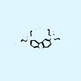 C=CC[Si](CC=C)(OCC)c1ccc2[nH]c3ccc([Si](CC=C)(CC=C)OCC)cc3c2c1